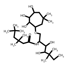 CCC(C)(C)C(O)C(O)C(COC1CC(C)(C)CC(O)C(O)C1O)NC(=O)CC(C)(C)CC(C)(C)C